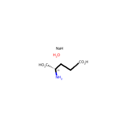 N[C@@H](CCC(=O)O)C(=O)O.O.[NaH]